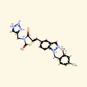 O=C1S/C(=C\c2ccc3c(cnn3Cc3ccc(Cl)cc3C(F)(F)F)c2)C(=O)N1Cc1c[nH]nn1